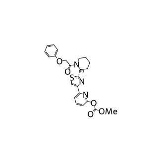 COC(=O)Oc1cccc(-c2csc([C@H]3CCCCN3C(=O)COc3ccccc3)n2)n1